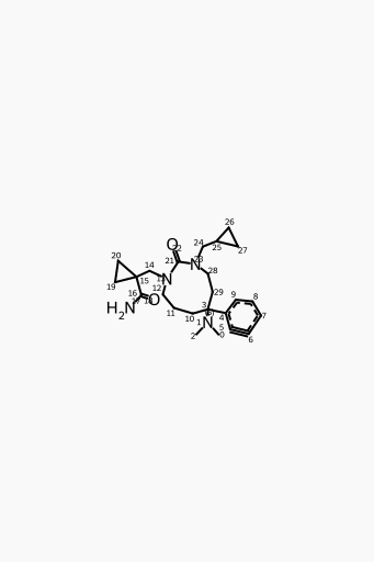 CN(C)[C@@]1(c2c#cccc2)CCCN(CC2(C(N)=O)CC2)C(=O)N(CC2CC2)CC1